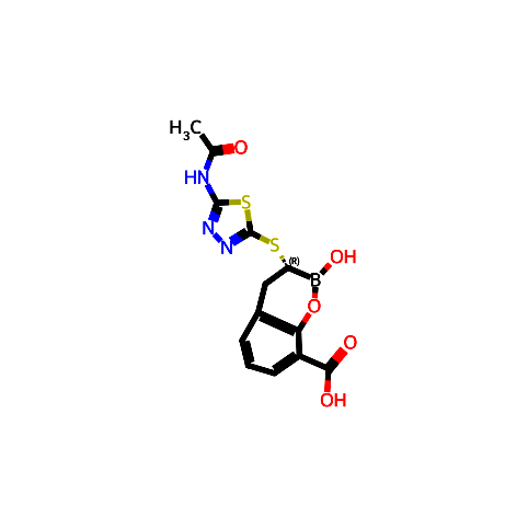 CC(=O)Nc1nnc(S[C@H]2Cc3cccc(C(=O)O)c3OB2O)s1